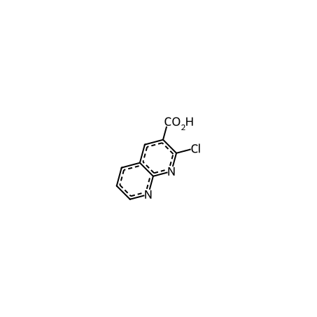 O=C(O)c1cc2cccnc2nc1Cl